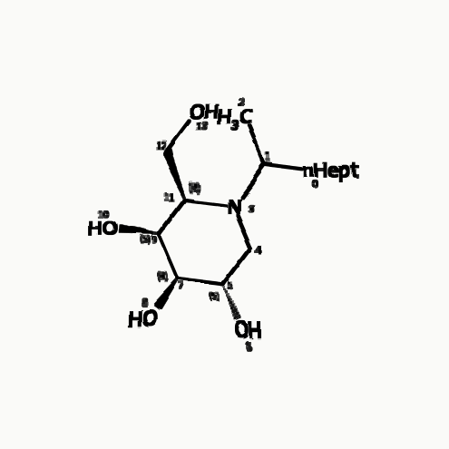 CCCCCCCC(C)N1C[C@H](O)[C@@H](O)[C@@H](O)[C@H]1CO